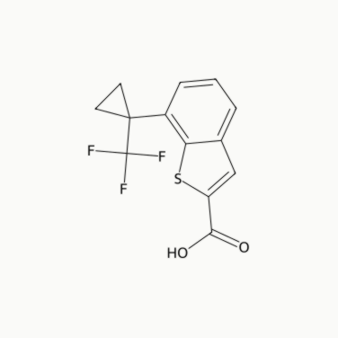 O=C(O)c1cc2cccc(C3(C(F)(F)F)CC3)c2s1